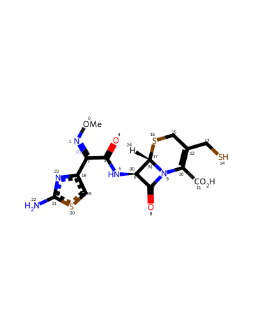 CO/N=C(\C(=O)N[C@@H]1C(=O)N2C(C(=O)O)=C(CS)CS[C@@H]12)c1csc(N)n1